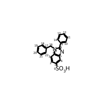 O=S(=O)(O)c1ccc2c(c1)nc(-c1ccccc1)n2Cc1ccccc1